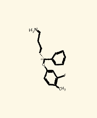 Cc1ccc(O[C@H](CCCCN)c2ccccc2)cc1F